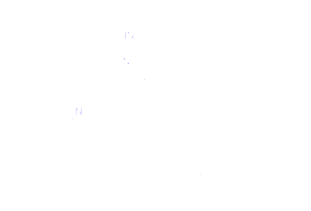 NCCC1(c2ccc(Cl)cc2)NNCC1c1ccccc1